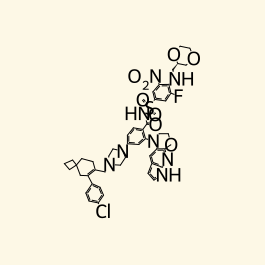 O=C(NS(=O)(=O)c1cc(F)c(NC[C@@H]2COCCO2)c([N+](=O)[O-])c1)c1ccc(N2CCN(CC3=C(c4ccc(Cl)cc4)CC4(CCC4)CC3)CC2)cc1N1CCOc2nc3[nH]ccc3cc21